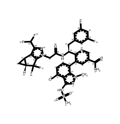 Cn1nc(NS(C)(=O)=O)c2c(Cl)ccc(-c3cc(C(N)=O)cnc3[C@H](Cc3cc(F)cc(F)c3)NC(=O)Cn3nc(C(F)F)c4c3C(F)(F)[C@@H]3CC43)c21